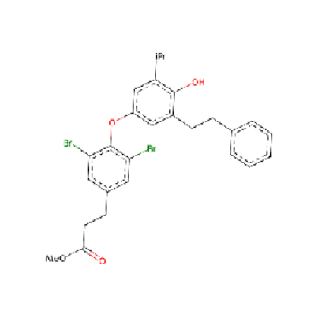 COC(=O)CCc1cc(Br)c(Oc2cc(CCc3ccccc3)c(O)c(C(C)C)c2)c(Br)c1